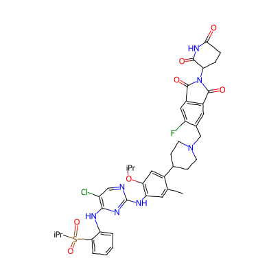 Cc1cc(Nc2ncc(Cl)c(Nc3ccccc3S(=O)(=O)C(C)C)n2)c(OC(C)C)cc1C1CCN(Cc2cc3c(cc2F)C(=O)N(C2CCC(=O)NC2=O)C3=O)CC1